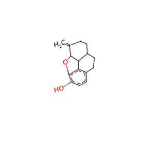 C=C1CCC2CCc3ccc(O)c4c3C2C1O4